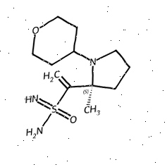 C=C([C@]1(C)CCCN1C1CCOCC1)S(=N)(N)=O